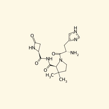 CC1(C)CCN(C(=O)[C@@H](N)Cc2c[nH]cn2)[C@@H]1C(=O)NC(=O)[C@@H]1CC(=O)N1